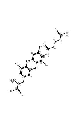 N[C@@H](Cc1cc(I)c(Oc2cc(I)c(OC(=O)COCC(=O)O)c(I)c2)c(I)c1)C(=O)O